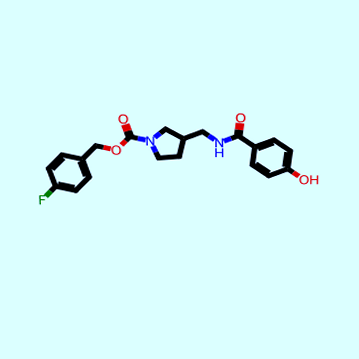 O=C(NCC1CCN(C(=O)OCc2ccc(F)cc2)C1)c1ccc(O)cc1